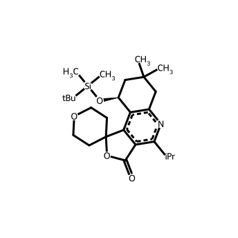 CC(C)c1nc2c(c3c1C(=O)OC31CCOCC1)[C@@H](O[Si](C)(C)C(C)(C)C)CC(C)(C)C2